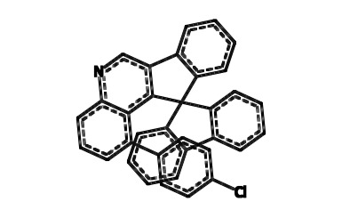 Clc1ccc(-c2cccc3ncc4c(c23)C2(c3ccccc3-c3ccccc32)c2ccccc2-4)cc1